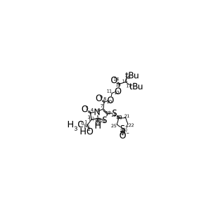 C[C@@H](O)[C@H]1C(=O)N2C(C(=O)OCOC(=O)C(C(C)(C)C)C(C)(C)C)=C(S[C@H]3CC[S@@+]([O-])C3)S[C@H]12